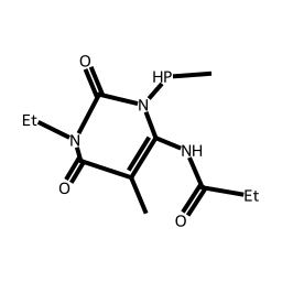 CCC(=O)Nc1c(C)c(=O)n(CC)c(=O)n1PC